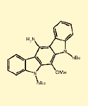 CCCCn1c2ccccc2c2c(N)c3c4ccccc4n(CCCC)c3c(OC)c21